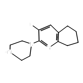 Fc1cc2c(nc1N1CCNCC1)CCCC2